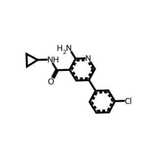 Nc1ncc(-c2cccc(Cl)c2)cc1C(=O)NC1CC1